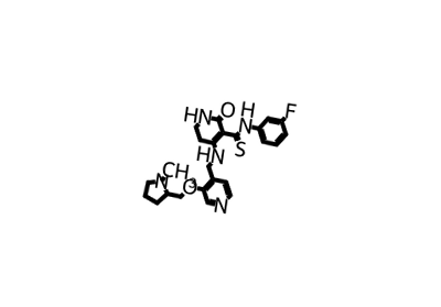 CN1CCCC1COc1cnccc1CNC1=C(C(=S)Nc2cccc(F)c2)C(=O)NCC1